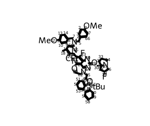 COc1ccc(CN(Cc2ccc(OC)cc2)c2cc(C)c(C(F)(F)F)c(-c3nc4c5c(nc(OC[C@@]67CCCN6C[C@H](F)C7)nc5c3F)N(CCO[Si](c3ccccc3)(c3ccccc3)C(C)(C)C)CCO4)n2)cc1